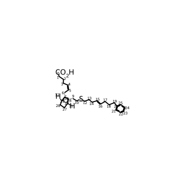 O=C(O)CCC/C=C\C[C@@H]1[C@H](CCSCCCC=CCCCc2ccccc2)[C@@H]2CC[C@H]1O2